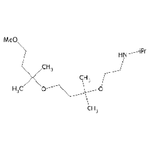 COCCC(C)(C)OCCC(C)(C)OCCNC(C)C